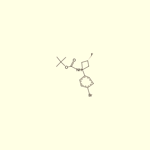 CC(C)(C)OC(=O)N[C@]1(c2ccc(Br)cc2)C[C@@H](F)C1